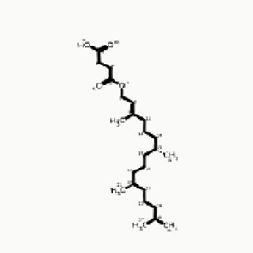 C/C(=C\COC(=O)CCC(=O)O)CCC[C@H](C)CCC[C@H](C)CCCC(C)C